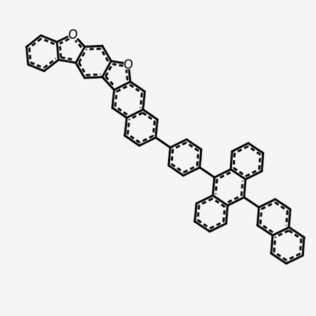 c1ccc2cc(-c3c4ccccc4c(-c4ccc(-c5ccc6cc7c(cc6c5)oc5cc6oc8ccccc8c6cc57)cc4)c4ccccc34)ccc2c1